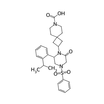 CC(C)c1ccccc1C1CN(S(=O)(=O)c2ccccc2)CC(=O)N1C1CC2(CCN(C(=O)O)CC2)C1